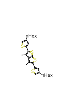 CCCCCCc1csc(-c2sc3sc(-c4cc(CCCCCC)cs4)c(C)c3c2C)c1